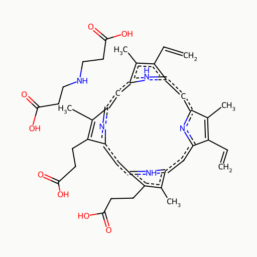 C=CC1=C(C)c2cc3[nH]c(cc4nc(cc5[nH]c(cc1n2)c(C)c5CCC(=O)O)C(CCC(=O)O)=C4C)c(C)c3C=C.O=C(O)CCNCCC(=O)O